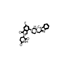 Cn1c(CN2CCN(c3cc(F)cc4c3CN(C3CCC(=O)NC3=O)C4=O)CC2)nc2ccccc21